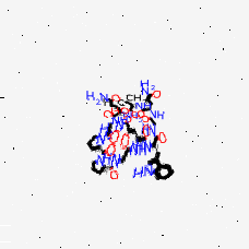 CC(C)[C@H](NC(=O)[C@H](CCC(N)=O)NC(=O)CNC(=O)[C@H](Cc1c[nH]c2ccccc12)NC(=O)[C@H](CCC(N)=O)NC(=O)CNC(=O)[C@@H]1CCCN1C(=O)[C@@H]1CCCN1C(=O)CNC(=O)[C@@H](N)CCC(N)=O)C(=O)O